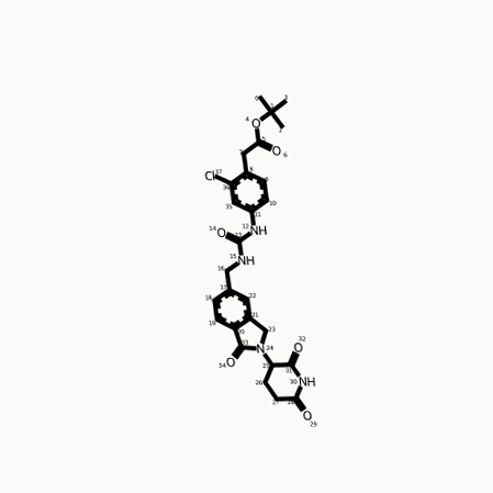 CC(C)(C)OC(=O)Cc1ccc(NC(=O)NCc2ccc3c(c2)CN(C2CCC(=O)NC2=O)C3=O)cc1Cl